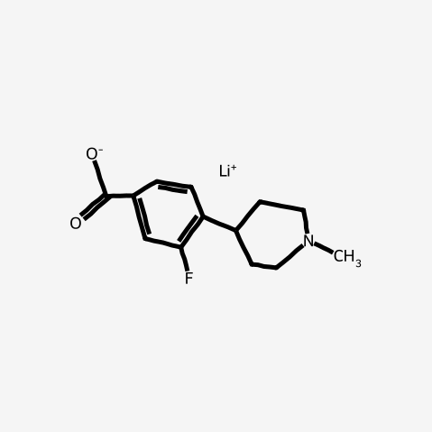 CN1CCC(c2ccc(C(=O)[O-])cc2F)CC1.[Li+]